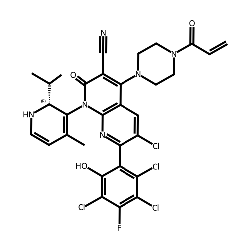 C=CC(=O)N1CCN(c2c(C#N)c(=O)n(C3=C(C)C=CN[C@@H]3C(C)C)c3nc(-c4c(O)c(Cl)c(F)c(Cl)c4Cl)c(Cl)cc23)CC1